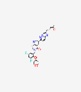 CC(=O)CCCc1cn2nc(-c3cnc4c(c3)C(=O)N(Cc3cc(F)cc(F)c3OC3CCOCC3)CC4)ccc2n1